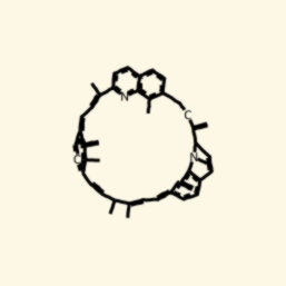 C=C1CCc2ccc3ccc(nc3c2C)/C(C)=C/C=c2/ccc(c(C)c2=C)/C=C\C(C)/C(C)=C/C=c2/ccc3c(c2=C)N(C)C1C=C3